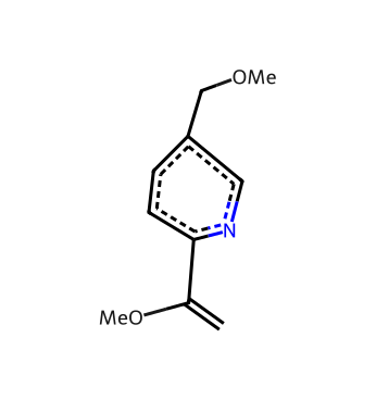 C=C(OC)c1ccc(COC)cn1